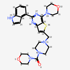 O=C(N1CCOCC1)N1CCN(Cc2cc3nc(-c4cccc5[nH]ccc45)nc(N4CCOCC4)c3s2)CC1